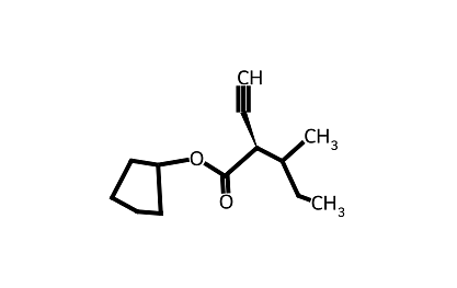 C#C[C@H](C(=O)OC1CCCC1)C(C)CC